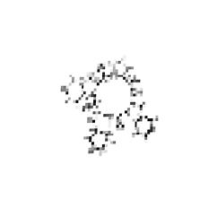 O=C1CC(Cc2ccccc2)NC(=O)C2CCCN2C(=O)C2CC3CCCCC3N2C(=O)C(Cc2ccccc2)N1